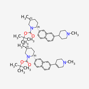 C[C@H]1CC[C@H](c2ccc3ccc(C4=CCN(C)CC4)cc3c2)N(C(=O)OC(C)(C)C)C1.C[C@H]1CC[C@H](c2ccc3ccc(C4CCN(C)CC4)cc3c2)N(C(=O)OC(C)(C)C)C1